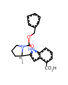 C[C@]1(c2cc3c(C(=O)O)cccc3[nH]2)CCCN1C(=O)OCc1ccccc1